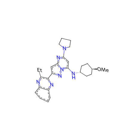 CCc1nc2ccccc2nc1-c1cc2nc(N3CCCC3)cc(N[C@H]3CC[C@H](OC)CC3)n2n1